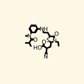 CCN1C(=O)C(CCNc2cccc(N(C)C(=O)C(C)C)c2)SC1CC(C#N)C(=O)O